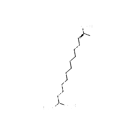 CC(=CCCCCCCCCCCC(C(=O)O)C(=O)O)C(=O)O